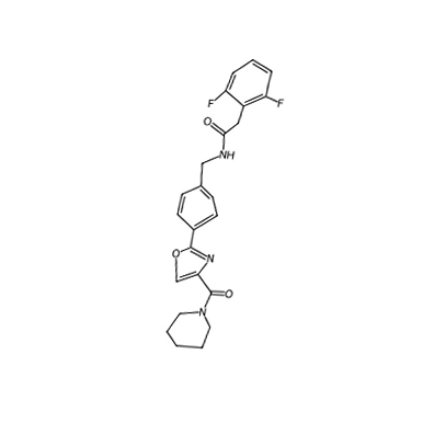 O=C(Cc1c(F)cccc1F)NCc1ccc(-c2nc(C(=O)N3CCCCC3)co2)cc1